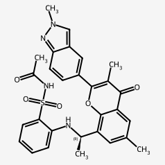 CC(=O)NS(=O)(=O)c1ccccc1N[C@H](C)c1cc(C)cc2c(=O)c(C)c(-c3ccc4nn(C)cc4c3)oc12